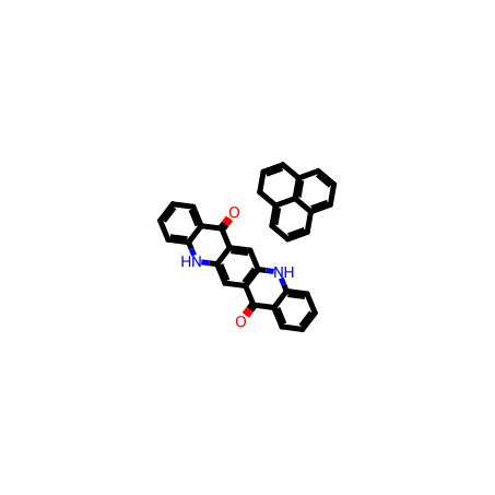 C1=Cc2cccc3cccc(c23)C1.O=c1c2ccccc2[nH]c2cc3c(=O)c4ccccc4[nH]c3cc12